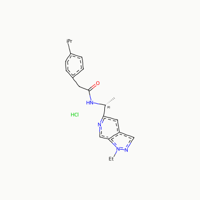 CCn1ncc2cc([C@@H](C)NC(=O)Cc3ccc(C(C)C)cc3)ncc21.Cl